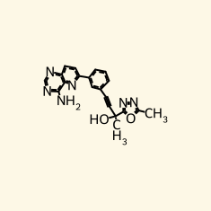 Cc1nnc([C@](C)(O)C#Cc2cccc(-c3ccc4ncnc(N)c4n3)c2)o1